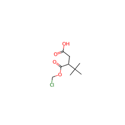 CC(C)(C)C(CC(=O)O)C(=O)OCCl